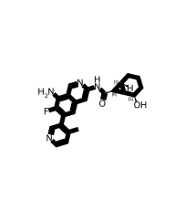 Cc1ccncc1-c1cc2cc(NC(=O)[C@H]3C4[C@@H](O)CCC[C@@H]43)ncc2c(N)c1F